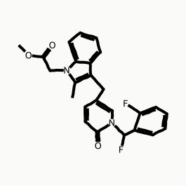 COC(=O)Cn1c(C)c(Cc2ccc(=O)n(C(F)c3ccccc3F)c2)c2ccccc21